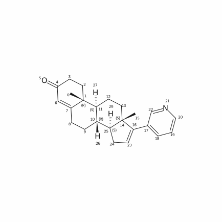 C[C@]12CCC(=O)C=C1CC[C@@H]1[C@@H]2CC[C@]2(C)C(c3cccnc3)=CC[C@@H]12